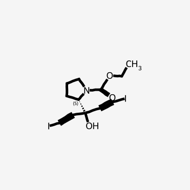 CCOC(=O)N1CCC[C@H]1C(O)(C#CI)C#CI